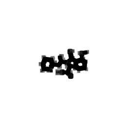 COc1cccc2c1C(=O)N(C(C)Cc1ccccn1)C2C(=O)O